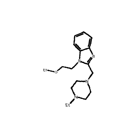 CCOCCn1c(CN2CCN(CC)CC2)nc2ccccc21